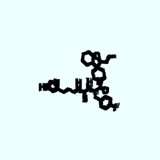 CCCC(=O)C1(C2CCCCC2)CCN(C(=O)[C@@H](Cc2ccc(F)cc2)NC(=S)NCCCc2c[nH]cn2)CC1